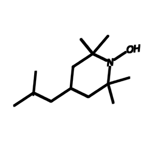 C[C](C)CC1CC(C)(C)N(O)C(C)(C)C1